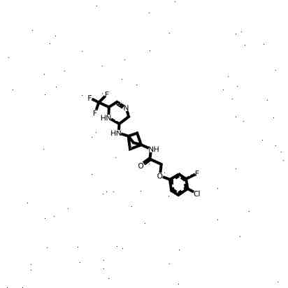 O=C(COc1ccc(Cl)c(F)c1)NC12CC(NC3CN=CC(C(F)(F)F)N3)(C1)C2